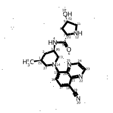 C[C@H]1C[C@@H](NC(=O)[C@@H]2C[C@H](O)CN2)CN(c2ccc(C#N)c3nccnc23)C1